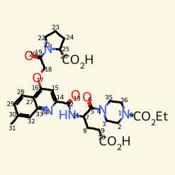 CCOC(=O)N1CCN(C(=O)C(CCC(=O)O)NC(=O)c2cc(OCC(=O)N3CCCC3C(=O)O)c3ccc(C)cc3n2)CC1